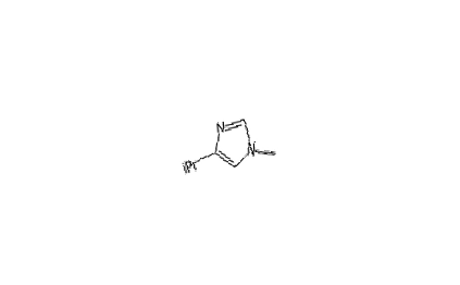 [CH2]C(C)c1cn(C)cn1